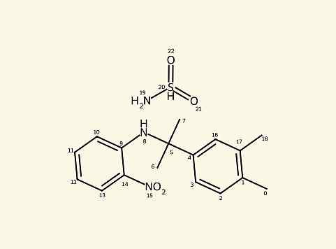 Cc1ccc(C(C)(C)Nc2ccccc2[N+](=O)[O-])cc1C.N[SH](=O)=O